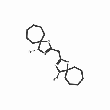 CC(C)[C@H]1N=C(CC2=N[C@H](C(C)C)C3(CCCCCC3)O2)OC12CCCCCC2